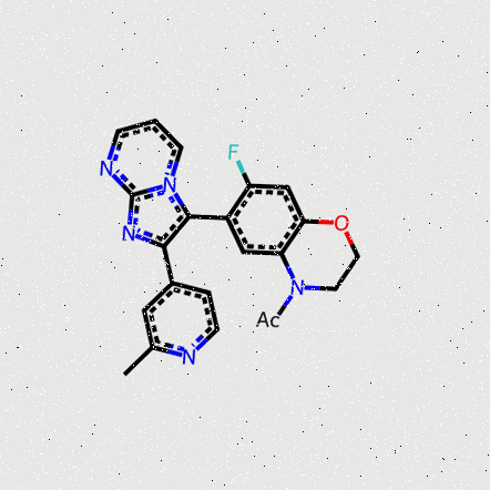 CC(=O)N1CCOc2cc(F)c(-c3c(-c4ccnc(C)c4)nc4ncccn34)cc21